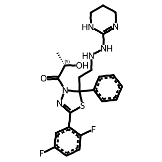 C[C@H](O)C(=O)N1N=C(c2cc(F)ccc2F)SC1(CCNNC1=NCCCN1)c1ccccc1